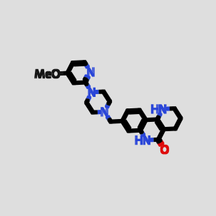 COc1ccnc(N2CCN(Cc3ccc4c5c(c(=O)[nH]c4c3)CCCN5)CC2)c1